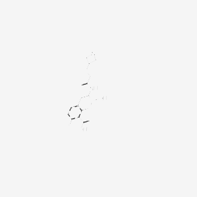 O=C(CSC1CNC1)NC1Cc2ccc(F)c(C(=O)O)c2OB1O